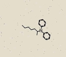 CCCCCC(C)N(c1ccccc1)c1ccccc1